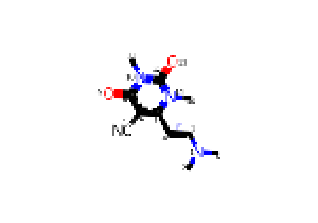 CN(C)/C=C/c1c(C#N)c(=O)n(C)c(=O)n1C